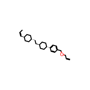 C=CCOCc1ccc([C@H]2CC[C@H](CC[C@H]3CC[C@H](/C=C\C)CC3)CC2)cc1